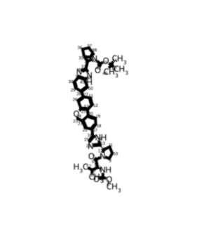 COC(=O)N[C@H](C(=O)N1CCC[C@H]1c1ncc(-c2ccc3c(c2)COc2cc(-c4ccc5nc(C6C7CCC(C7)N6C(=O)OC(C)(C)C)[nH]c5c4)ccc2-3)[nH]1)C(C)C